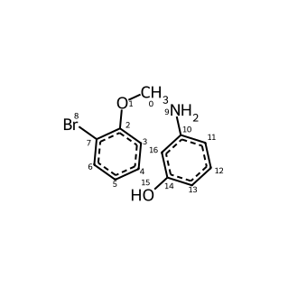 COc1ccccc1Br.Nc1cccc(O)c1